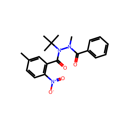 Cc1ccc([N+](=O)[O-])c(C(=O)N(N(C)C(=O)c2ccccc2)C(C)(C)C)c1